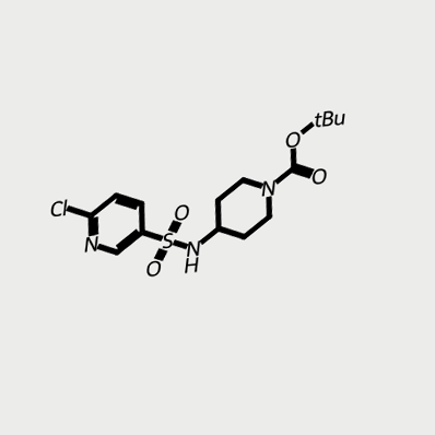 CC(C)(C)OC(=O)N1CCC(NS(=O)(=O)c2ccc(Cl)nc2)CC1